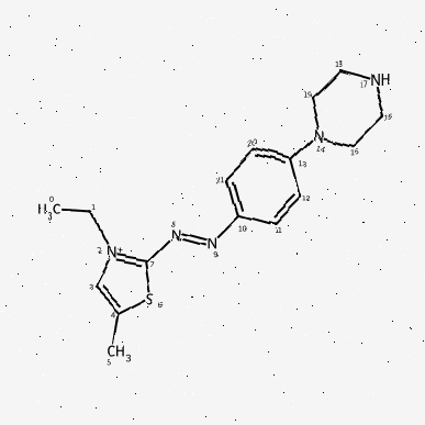 CC[n+]1cc(C)sc1/N=N/c1ccc(N2CCNCC2)cc1